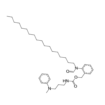 CCCCCCCCCCCCCCCCCCN(C=O)c1ccccc1COC(=O)NCCCN(C)c1ccccc1